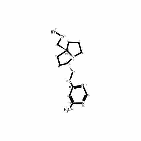 CC(C)OC[C@@]12CCCN1[C@H](CSc1cc(C(F)(F)F)ncn1)CC2